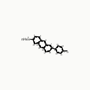 CCCCCCc1ccc2cc3cc(-c4ccc(C)cc4)ccc3cc2c1